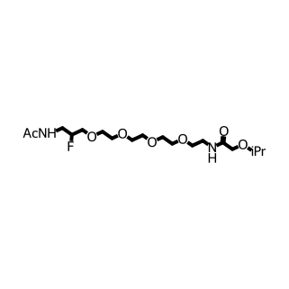 CC(=O)NCC(F)COCCOCCOCCOCCNC(=O)COC(C)C